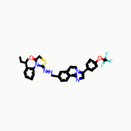 CCC(C)c1ccccc1N1C(=O)CSC1=NN=Cc1ccc2c(ccn3c(-c4ccc(OC(F)(F)F)cc4)cnc23)c1